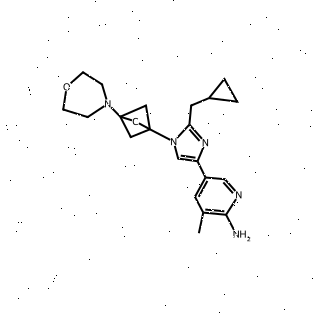 Cc1cc(-c2cn(C34CC(N5CCOCC5)(C3)C4)c(CC3CC3)n2)cnc1N